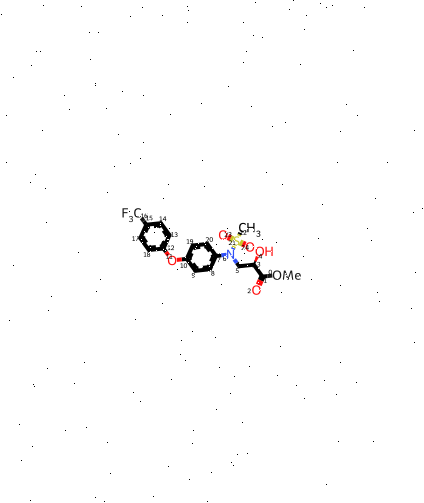 COC(=O)[C@H](O)CN(c1ccc(Oc2ccc(C(F)(F)F)cc2)cc1)S(C)(=O)=O